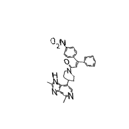 Cc1nc2c(C)ncc(C3CCN(C(=O)C=C(c4ccccc4)c4ccc([N+](=O)[O-])cc4)CC3)c2[nH]1